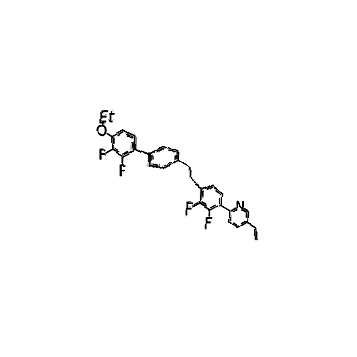 C=Cc1ccc(-c2ccc(CCc3ccc(-c4ccc(OCC)c(F)c4F)cc3)c(F)c2F)nc1